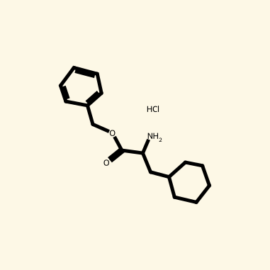 Cl.NC(CC1CCCCC1)C(=O)OCc1ccccc1